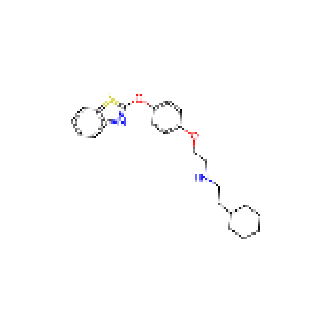 c1ccc2sc(Oc3ccc(OCCNCCC4CCCCC4)cc3)nc2c1